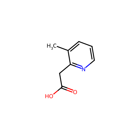 Cc1cccnc1CC(=O)O